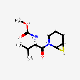 COC(=O)N[C@H](C(=O)N1CCCC2SC21)C(C)C